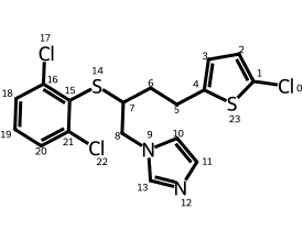 Clc1ccc(CCC(Cn2ccnc2)Sc2c(Cl)cccc2Cl)s1